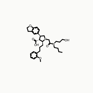 CCCCN(CCCO)C(=O)CN1C[C@H](c2ccc3c(c2)CCO3)[C@@H](C(=O)O)[C@@H]1CCCc1ccccc1OC